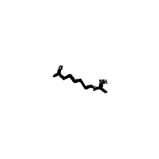 CC(=N)SCCC/C=C/CC(C)=O